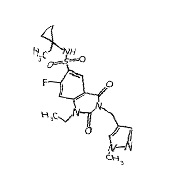 CCn1c(=O)n(Cc2cnn(C)c2)c(=O)c2cc(S(=O)(=O)NC3(C)CC3)c(F)cc21